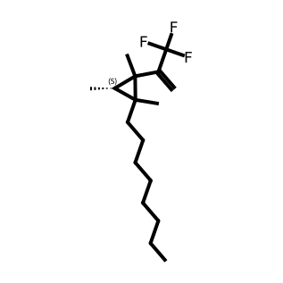 C=C(C(F)(F)F)C1(C)[C@@H](C)C1(C)CCCCCCCC